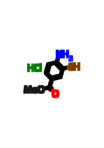 COC(=O)c1ccc(N)c(S)c1.Cl